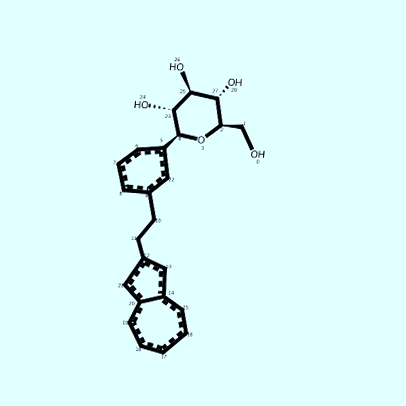 OC[C@H]1O[C@@H](c2cccc(CCc3cc4cccccc-4c3)c2)[C@H](O)[C@@H](O)[C@@H]1O